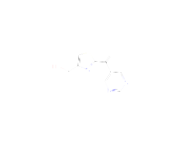 C=C(c1cncnc1)c1nc(CO)cs1